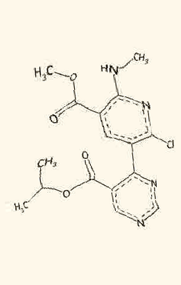 CNc1nc(Cl)c(-c2ncncc2C(=O)OC(C)C)cc1C(=O)OC